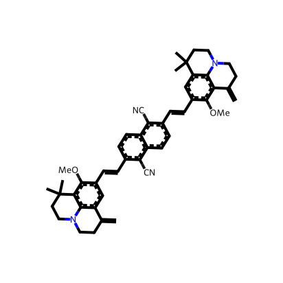 C=C1CCN2CCC(C)(C)c3c(OC)c(C=Cc4ccc5c(C#N)c(C=Cc6cc7c8c(c6OC)C(=C)CCN8CCC7(C)C)ccc5c4C#N)cc1c32